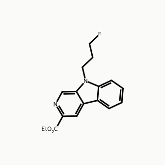 CCOC(=O)c1cc2c3ccccc3n(CCCF)c2cn1